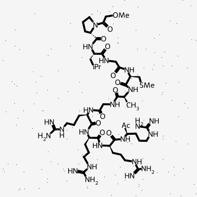 COCC(=O)N1CCC[C@H]1C(=O)N[C@@H](CC(C)C)C(=O)NCC(=O)N[C@@H](CSC)C(=O)N[C@@H](C)C(=O)NCC(=O)N[C@H](CCCNC(=N)N)C(=O)N[C@H](CCCNC(=N)N)C(=O)N[C@H](CCCNC(=N)N)C(=O)N[C@H](CCCNC(=N)N)C(C)=O